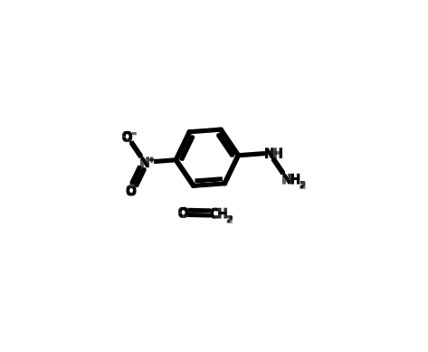 C=O.NNc1ccc([N+](=O)[O-])cc1